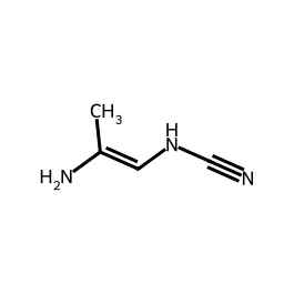 C/C(N)=C\NC#N